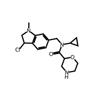 CN1CC(Cl)c2ccc(CN(C(=O)C3CNCCO3)C3CC3)cc21